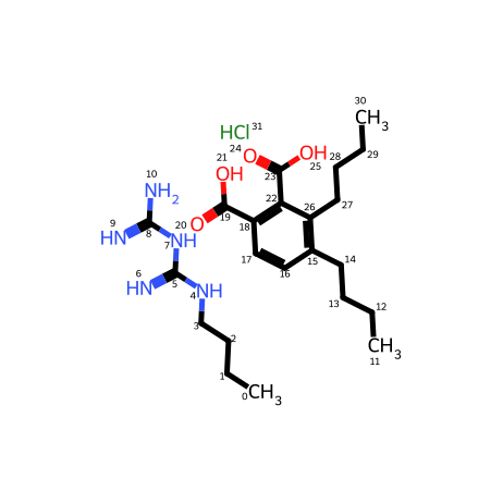 CCCCNC(=N)NC(=N)N.CCCCc1ccc(C(=O)O)c(C(=O)O)c1CCCC.Cl